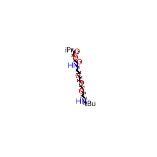 CC(C)C(=O)COCC(=O)NCCCOCCOCCOCCCNC(C)(C)C